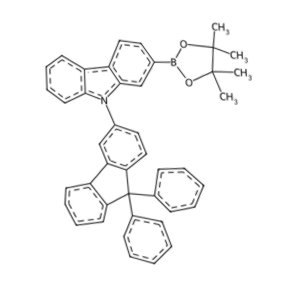 CC1(C)OB(c2ccc3c4ccccc4n(-c4ccc5c(c4)-c4ccccc4C5(c4ccccc4)c4ccccc4)c3c2)OC1(C)C